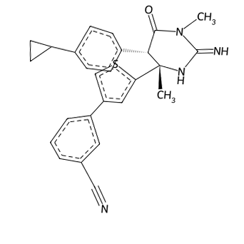 CN1C(=N)N[C@](C)(c2cc(-c3cccc(C#N)c3)cs2)[C@H](c2ccc(C3CC3)cc2)C1=O